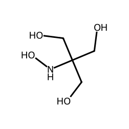 OCC(CO)(CO)NO